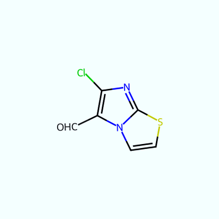 O=Cc1c(Cl)nc2sccn12